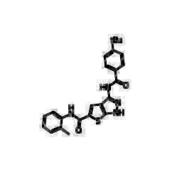 Cc1ccccc1NC(=O)c1cc2c(NC(=O)c3ccc(C(C)(C)C)cc3)n[nH]c2s1